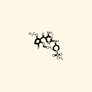 CCOc1c(F)ccc(OC)c1C(=O)c1cnc(NC2CCN(S(C)(=O)=O)CC2)nc1N